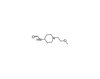 COCCN1CCC(NC=O)CC1